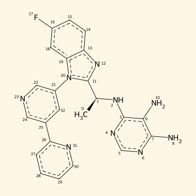 C[C@H](Nc1ncnc(N)c1N)c1nc2ccc(F)cc2n1-c1cncc(-c2ccccn2)c1